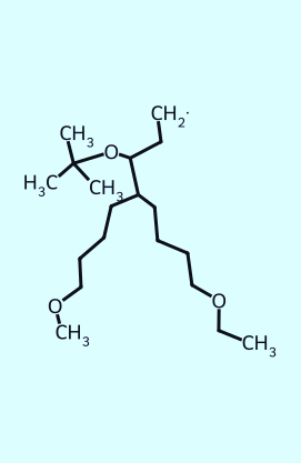 [CH2]CC(OC(C)(C)C)C(CCCCOC)CCCCOCC